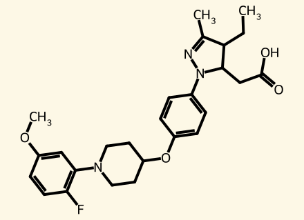 CCC1C(C)=NN(c2ccc(OC3CCN(c4cc(OC)ccc4F)CC3)cc2)C1CC(=O)O